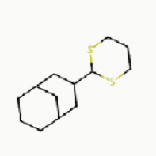 C1CSC(C2CC3CCCC(C3)C2)SC1